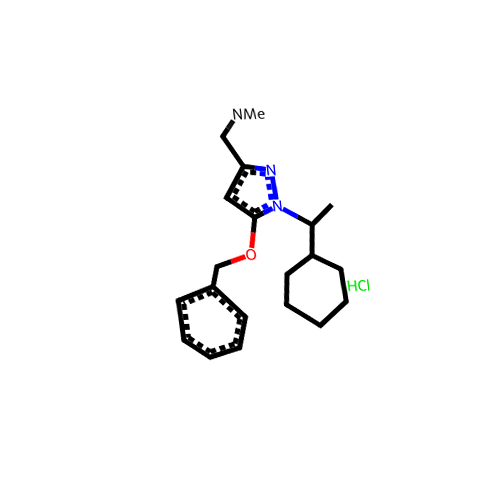 CNCc1cc(OCc2ccccc2)n(C(C)C2CCCCC2)n1.Cl